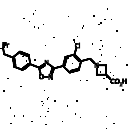 CC(C)Cc1ccc(-c2nc(-c3ccc(CN4CC(C(=O)O)C4)c(Cl)c3)no2)cc1